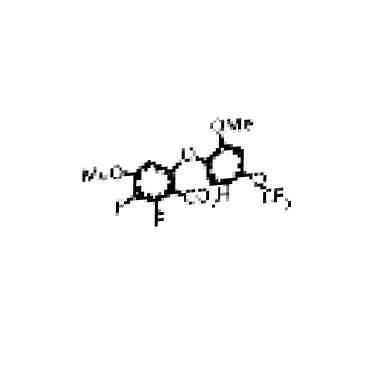 COc1cc(OC(F)(F)F)ccc1Oc1cc(OC)c(F)c(F)c1C(=O)O